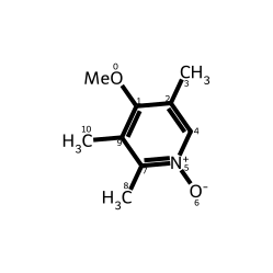 COc1c(C)c[n+]([O-])c(C)c1C